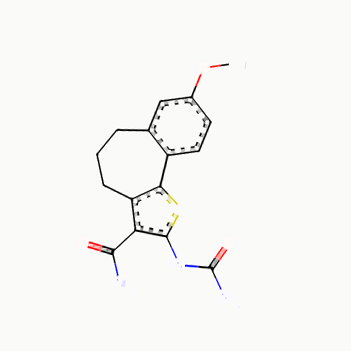 COc1ccc2c(c1)CCCc1c-2sc(NC(N)=O)c1C(N)=O